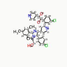 Cc1cc(C)c(-c2nc(-c3ccncc3)c(-c3ccc(Cl)cc3)n2CCO)c(C)c1.O=C(C(=O)c1ccc(Cl)cc1)c1ccncc1